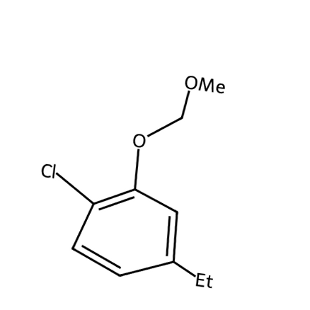 CCc1ccc(Cl)c(OCOC)c1